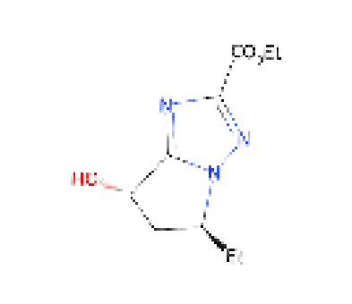 CCOC(=O)c1nc2n(n1)[C@@H](CC)C[C@@H]2O